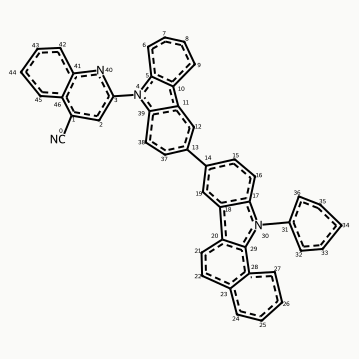 N#Cc1cc(-n2c3ccccc3c3cc(-c4ccc5c(c4)c4ccc6ccccc6c4n5-c4ccccc4)ccc32)nc2ccccc12